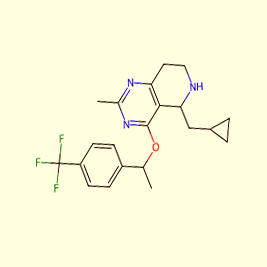 Cc1nc2c(c(OC(C)c3ccc(C(F)(F)F)cc3)n1)C(CC1CC1)NCC2